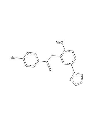 COc1ccc(-c2cccs2)cc1CC(=O)c1ccc(C(C)(C)C)cc1